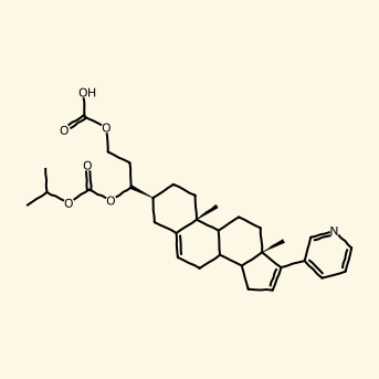 CC(C)OC(=O)OC(CCOC(=O)O)[C@H]1CC[C@@]2(C)C(=CCC3C2CC[C@]2(C)C(c4cccnc4)=CCC32)C1